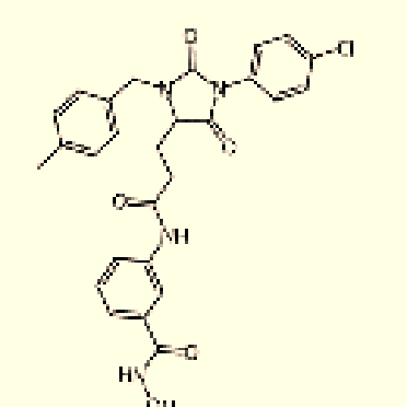 Cc1ccc(CN2C(=O)N(c3ccc(Cl)cc3)C(=O)C2CCC(=O)Nc2cccc(C(=O)NO)c2)cc1